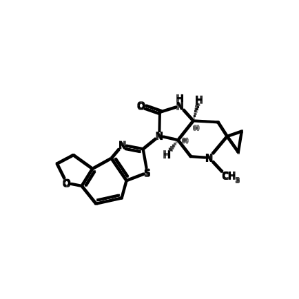 CN1C[C@@H]2[C@H](CC13CC3)NC(=O)N2c1nc2c3c(ccc2s1)OCC3